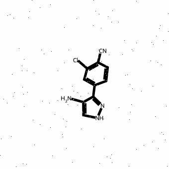 N#Cc1ccc(-c2n[nH]cc2N)cc1Cl